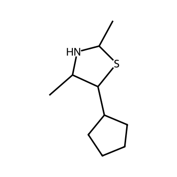 CC1NC(C)C(C2CCCC2)S1